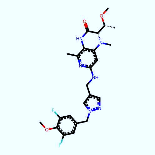 COc1c(F)cc(Cn2cc(CNc3cc4c(c(C)n3)NC(=O)[C@H]([C@@H](C)OC)N4C)cn2)cc1F